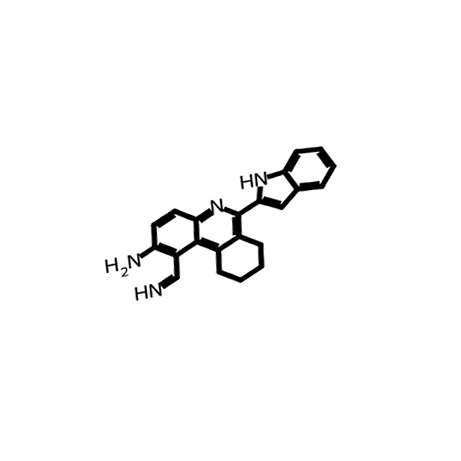 N=Cc1c(N)ccc2nc(-c3cc4ccccc4[nH]3)c3c(c12)CCCC3